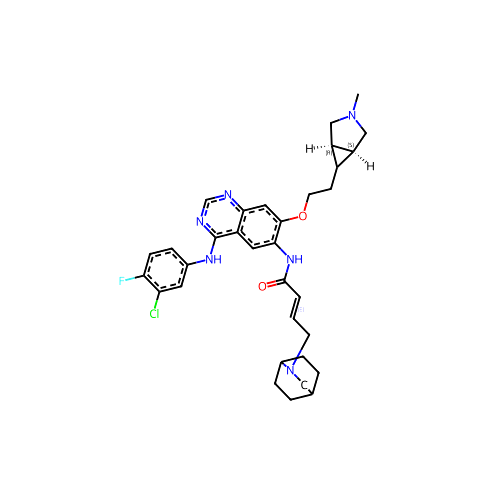 CN1C[C@@H]2C(CCOc3cc4ncnc(Nc5ccc(F)c(Cl)c5)c4cc3NC(=O)/C=C/CN3CC4CCC3CC4)[C@@H]2C1